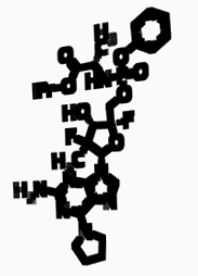 CC(C)OC(=O)[C@H](C)NP(=O)(OC[C@@]1(F)O[C@@H](n2cnc3c(N4CCCC4)nc(N)nc32)[C@](C)(F)[C@@H]1O)Oc1ccccc1